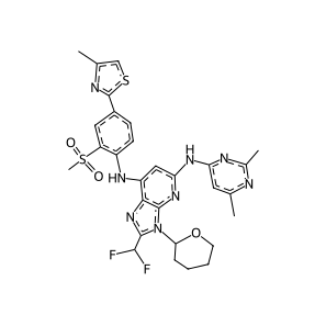 Cc1cc(Nc2cc(Nc3ccc(-c4nc(C)cs4)cc3S(C)(=O)=O)c3nc(C(F)F)n(C4CCCCO4)c3n2)nc(C)n1